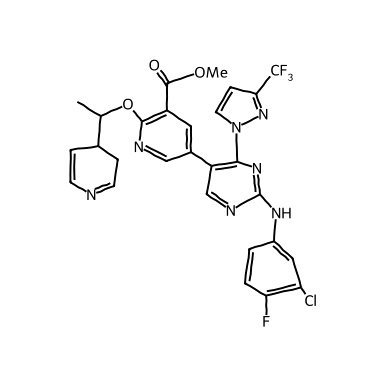 COC(=O)c1cc(-c2cnc(Nc3ccc(F)c(Cl)c3)nc2-n2ccc(C(F)(F)F)n2)cnc1OC(C)C1C=CN=CC1